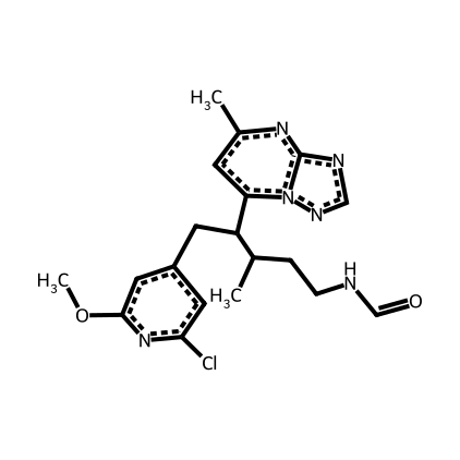 COc1cc(CC(c2cc(C)nc3ncnn23)C(C)CCNC=O)cc(Cl)n1